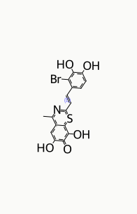 Cc1nc(/C=C/c2ccc(O)c(O)c2Br)sc2c(O)c(=O)c(O)cc1-2